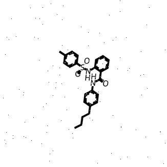 CCCCc1ccc(NC(=O)c2ccccc2NS(=O)(=O)c2ccc(C)cc2)cc1